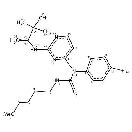 COCCCCNC(=O)N(c1ccc(F)cc1)c1ccnc(N[C@@H](C)C(C)(C)O)n1